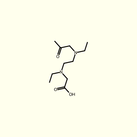 CCN(CCN(CC)CC(=O)O)CC(C)=O